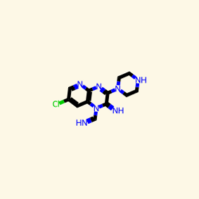 N=Cn1c(=N)c(N2CCNCC2)nc2ncc(Cl)cc21